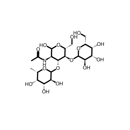 CC(=O)N[C@H]1C(O)O[C@H](CO)[C@@H](OC2O[C@H](CO)[C@H](O)[C@H](O)[C@H]2O)[C@@H]1OC1O[C@@H](C)[C@@H](O)[C@@H](O)[C@@H]1O